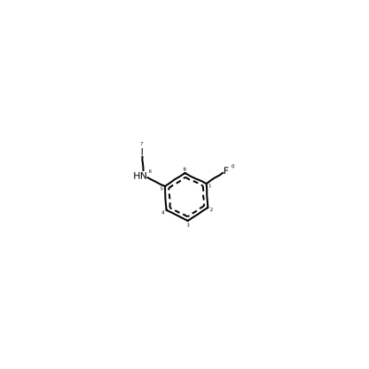 Fc1cccc(NI)c1